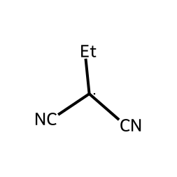 CC[C](C#N)C#N